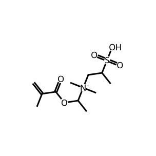 C=C(C)C(=O)OC(C)[N+](C)(C)CC(C)S(=O)(=O)O